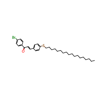 CCCCCCCCCCCCCCCCCCSc1ccc(/C=C/C(=O)c2ccc(Br)cc2)cc1